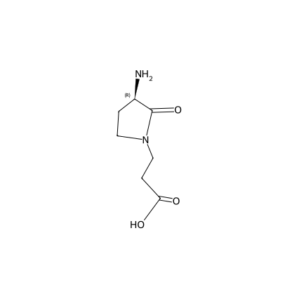 N[C@@H]1CCN(CCC(=O)O)C1=O